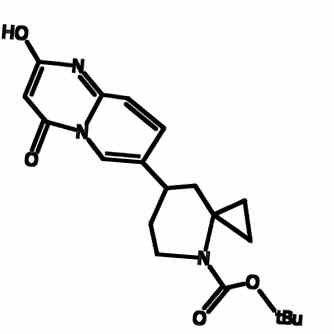 CC(C)(C)OC(=O)N1CCC(c2ccc3nc(O)cc(=O)n3c2)CC12CC2